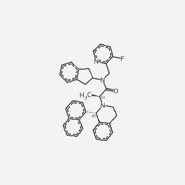 C[C@@H](C(=O)N(Cc1ncccc1F)C1Cc2ccccc2C1)N1CCc2ccccc2[C@@H]1c1cccc2ccccc12